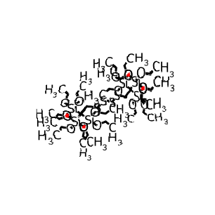 CCO[Si](OCC)(OCC)C(CSSSSCC([Si](OCC)(OCC)OCC)([Si](OCC)(OCC)OCC)[Si](OCC)(OCC)OCC)([Si](OCC)(OCC)OCC)[Si](OCC)(OCC)OCC